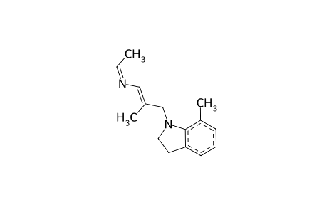 C/C=N\C=C(/C)CN1CCc2cccc(C)c21